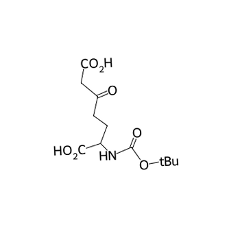 CC(C)(C)OC(=O)NC(CCC(=O)CC(=O)O)C(=O)O